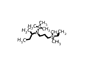 C=C[Si](C)(C)CCCN(C(C)CC)[Si](C)(C)C